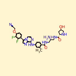 Cc1cc(Nc2nccn3c(-c4ccc(OCC#N)c(F)c4F)cnc23)ccc1C(=O)NC[C@@H](N)CNC(=O)[C@@H]1C[C@@H](O)CN1